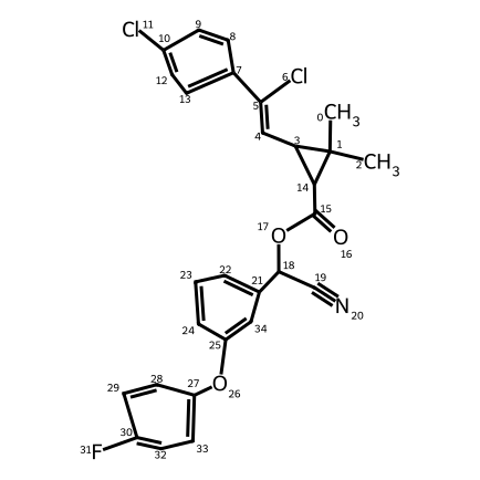 CC1(C)C(C=C(Cl)c2ccc(Cl)cc2)C1C(=O)OC(C#N)c1cccc(Oc2ccc(F)cc2)c1